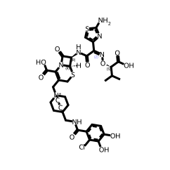 CC(C)[C@H](O/N=C(\C(=O)N[C@@H]1C(=O)N2C(C(=O)O)=C(C[N+]34CCC(CNC(=O)c5ccc(O)c(O)c5Cl)(CC3)CC4)CS[C@H]12)c1csc(N)n1)C(=O)O